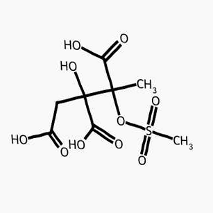 CC(OS(C)(=O)=O)(C(=O)O)C(O)(CC(=O)O)C(=O)O